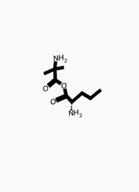 CCC[C@H](N)C(=O)OC(=O)C(C)(C)N